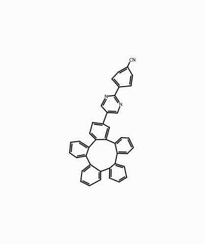 N#Cc1ccc(-c2ncc(-c3ccc4c5ccccc5c5ccccc5c5ccccc5c5ccccc5c4c3)cn2)cc1